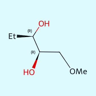 CC[C@@H](O)[C@H](O)COC